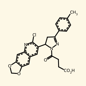 Cc1ccc(C2=NN(C(=O)CCC(=O)O)C(c3cc4cc5c(cc4nc3Cl)OCO5)C2)cc1